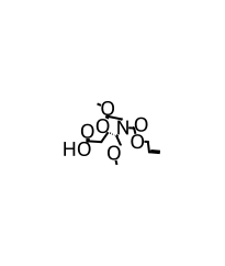 C=CCOC(=O)N(CC(=O)OC)[C@@H](CCC(=O)O)COC